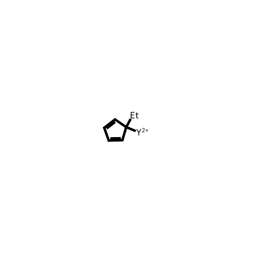 CC[C]1([Y+2])C=CC=C1